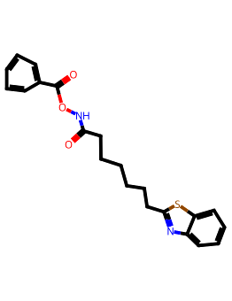 O=C(CCCCCCc1nc2ccccc2s1)NOC(=O)c1ccccc1